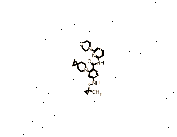 CC1(SNc2ccc(C(=O)Nc3cccc(N4CCOCC4)n3)c(N3CCC4(CC3)CC4)c2)CC1